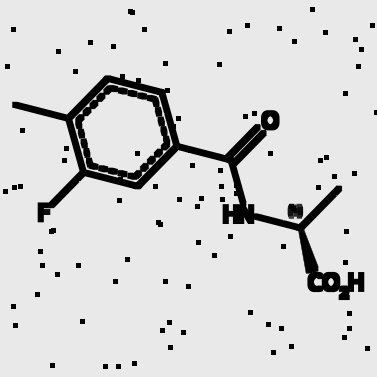 Cc1ccc(C(=O)N[C@@H](C)C(=O)O)cc1F